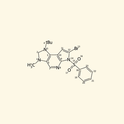 CN1CN(C(C)(C)C)c2c1cnc1c2cc(Br)n1S(=O)(=O)c1ccccc1